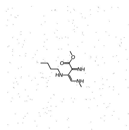 CCCCN/C(=C/NC)C(=N)C(=O)OC